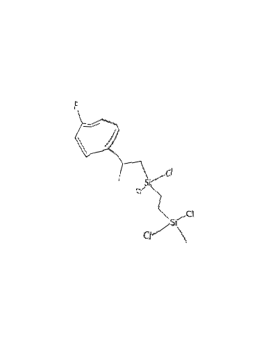 CC(C[Si](Cl)(Cl)CC[Si](C)(Cl)Cl)c1ccc(F)cc1